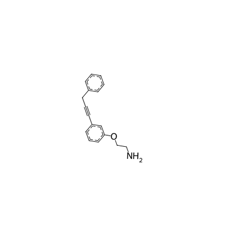 NCCOc1cccc(C#CCc2ccccc2)c1